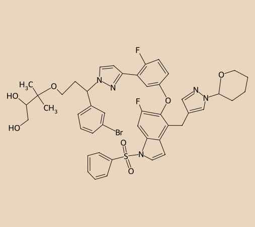 CC(C)(OCCC(c1cccc(Br)c1)n1ccc(-c2cc(Oc3c(F)cc4c(ccn4S(=O)(=O)c4ccccc4)c3Cc3cnn(C4CCCCO4)c3)ccc2F)n1)C(O)CO